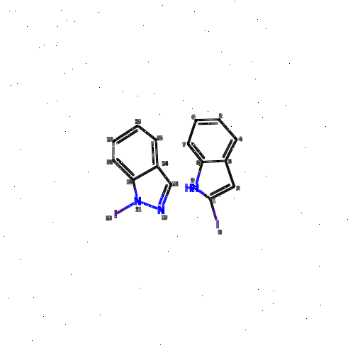 Ic1cc2ccccc2[nH]1.In1ncc2ccccc21